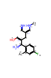 CCN/C=C(\C=N)C/C(=C/O)C(N)c1ccc(F)cc1C(C)=O